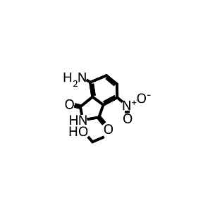 CCO.Nc1ccc([N+](=O)[O-])c2c1C(=O)NC2=O